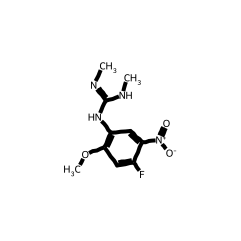 C/N=C(\NC)Nc1cc([N+](=O)[O-])c(F)cc1OC